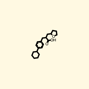 O=C(O)C(Cc1ccc(C2CCCCC2)cc1)CC1CCCO1